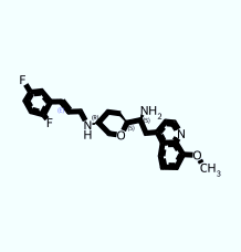 COc1cccc2c(C[C@H](N)[C@@H]3CC[C@@H](NC/C=C/c4cc(F)ccc4F)CO3)ccnc12